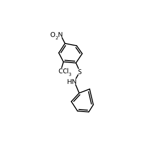 O=[N+]([O-])c1ccc(SNc2ccccc2)c(C(Cl)(Cl)Cl)c1